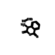 Cn1c(=O)oc(=O)c2ccccc21.O=CO